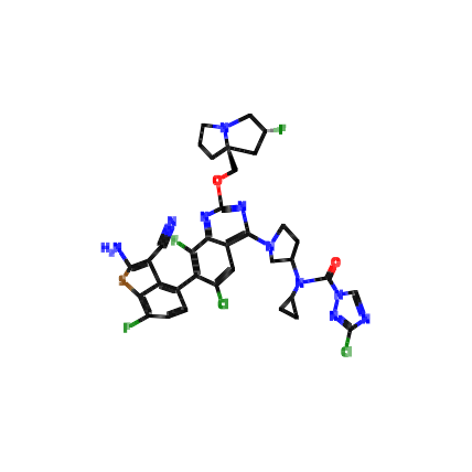 N#Cc1c(N)sc2c(F)ccc(-c3c(Cl)cc4c(N5CCC(N(C(=O)n6cnc(Cl)n6)C6CC6)C5)nc(OC[C@@]56CCCN5C[C@H](F)C6)nc4c3F)c12